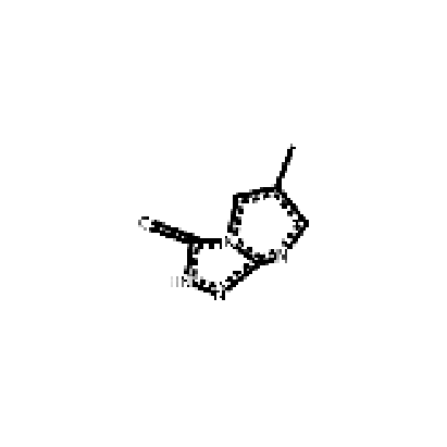 Cc1cnc2n[nH]c(=O)n2c1